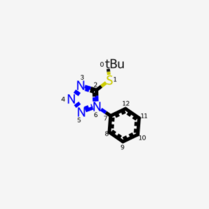 CC(C)(C)Sc1nnnn1-c1ccccc1